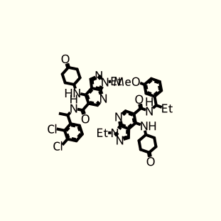 CCC(NC(=O)c1cnc2c(cnn2CC)c1NC1CCC(=O)CC1)c1cccc(OC)c1.CCn1ncc2c(NC3CCC(=O)CC3)c(C(=O)NC(C)c3cccc(Cl)c3Cl)cnc21